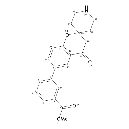 COC(=O)c1cncc(-c2ccc3c(c2)C(=O)CC2(CCNCC2)O3)c1